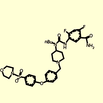 CCCCN(C(=O)Nc1cc(C(N)=O)c(F)cc1F)C1CCN(Cc2ccc(Oc3ccc(S(=O)(=O)N4CCOCC4)cc3)cc2)CC1